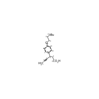 CC#CC(CC(=O)O)c1ccc(OCCC(C)(C)C)cc1